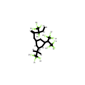 C=C(CC1CC(C(C(F)(F)F)C(F)(F)F)CC(C(C)(C)C(F)(F)F)C1)C(F)(CC)C(F)(F)F